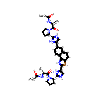 COC(=O)N[C@H](C(=O)N1CCC[C@H]1c1ncc(-c2ccc3c(ccc4sc(-c5cnc([C@@H]6CCCN6C(=O)[C@@H](NC(=O)OC)C(C)C)[nH]5)nc43)c2)[nH]1)C(C)C